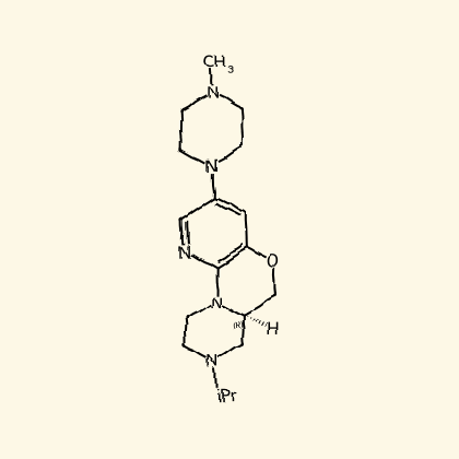 CC(C)N1CCN2c3ncc(N4CCN(C)CC4)cc3OC[C@H]2C1